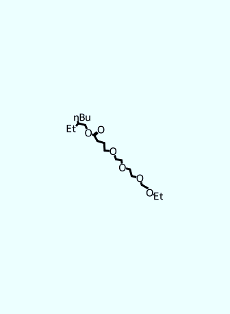 CCCCC(CC)COC(=O)CCCOCCOCCOCCOCC